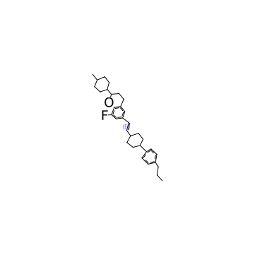 CCCc1ccc(C2CCC(/C=C/c3cc(F)c4c(c3)CCC(C3CCC(C)CC3)O4)CC2)cc1